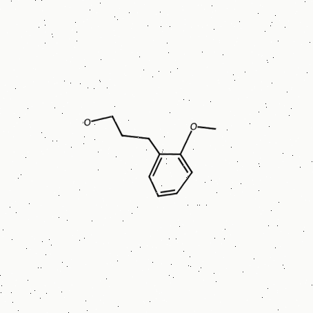 COc1ccccc1CCC[O]